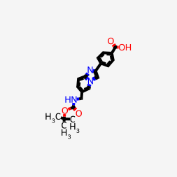 CC(C)(C)OC(=O)NCc1ccc2nc(-c3ccc(C(=O)O)cc3)cn2c1